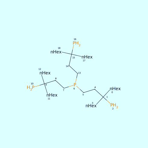 CCCCCCC(P)(CCCCCC)CCP(CCC(P)(CCCCCC)CCCCCC)CCC(P)(CCCCCC)CCCCCC